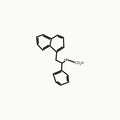 O=C(O)NC(Cc1cccc2ccccc12)c1ccccc1